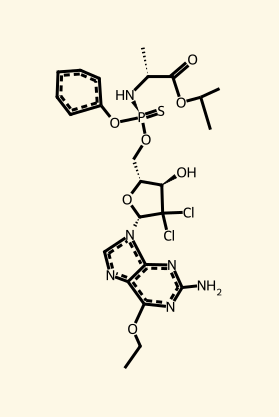 CCOc1nc(N)nc2c1ncn2[C@@H]1O[C@H](CO[P@](=S)(N[C@H](C)C(=O)OC(C)C)Oc2ccccc2)[C@@H](O)C1(Cl)Cl